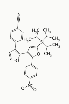 CC(C)[Si](c1cc(-c2occc2-c2ccc(C#N)cc2)c(-c2ccc([N+](=O)[O-])cc2)o1)(C(C)C)C(C)C